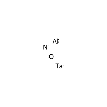 [Al].[N].[O].[Ta]